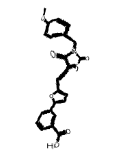 COc1ccc(CN2C(=O)S/C(=C\c3ccc(-c4cccc(C(=O)O)c4)o3)C2=O)cc1